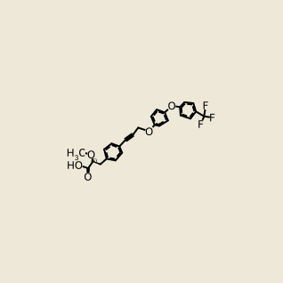 CO[C@@H](Cc1ccc(C#CCOc2ccc(Oc3ccc(C(F)(F)F)cc3)cc2)cc1)C(=O)O